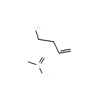 C=CCCC.O=[N+]([O-])O